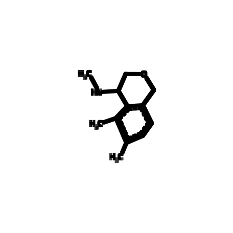 CNC1COCc2ccc(C)c(C)c21